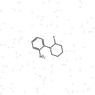 O=[N+]([O-])c1ccccc1N1CCCCC1F